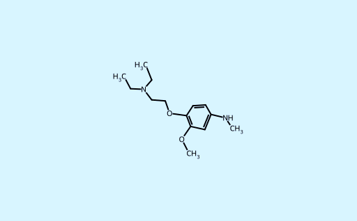 CCN(CC)CCOc1ccc(NC)cc1OC